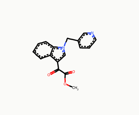 COC(=O)C(=O)c1cn(Cc2cccnc2)c2ccccc12